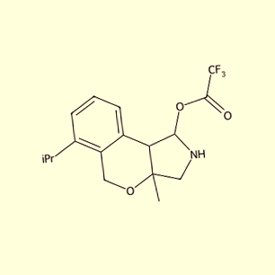 CC(C)c1cccc2c1COC1(C)CNC(OC(=O)C(F)(F)F)C21